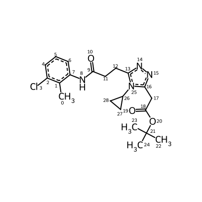 Cc1c(Cl)cccc1NC(=O)CCc1nnc(CC(=O)OC(C)(C)C)n1C1CC1